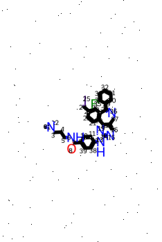 CN(C)CCCNC(=O)c1ccc(Nc2ncc3c(n2)-c2ccc(CI)cc2C(c2ccccc2F)=NC3)cc1